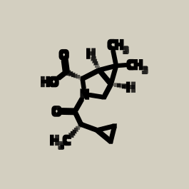 C[C@H](C(=O)N1C[C@H]2[C@@H]([C@H]1C(=O)O)C2(C)C)C1CC1